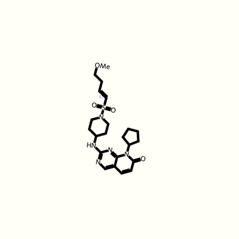 COCC/C=C/S(=O)(=O)N1CCC(Nc2ncc3ccc(=O)n(C4CCCC4)c3n2)CC1